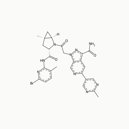 Cc1ncc(-c2cc3c(C(N)=O)nn(CC(=O)N4[C@H](C(=O)Nc5nc(Br)ccc5C)C[C@@]5(C)C[C@@H]45)c3cn2)cn1